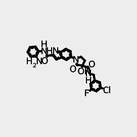 Nc1ccccc1NC(=O)c1cc2cc(N3CCC(O)(C(=O)NCc4cc(F)cc(Cl)c4)C3=O)ccc2[nH]1